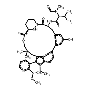 CCn1c(-c2cccnc2[C@H](C)OC)c2c3cc(ccc31)-c1cc(O)cc(c1)C[C@H](NC(=O)[C@H](C(C)C)N(C)C=O)C(=O)N1CCC[C@H](N1)C(=O)OCC(C)(C)C2